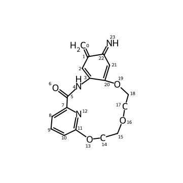 C=C1C=C2NC(=O)c3cccc(n3)OCCOCCOC2=CC1=N